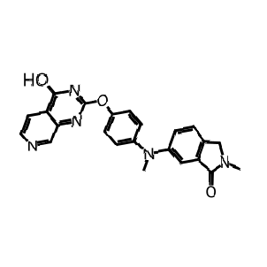 CN1Cc2ccc(N(C)c3ccc(Oc4nc(O)c5ccncc5n4)cc3)cc2C1=O